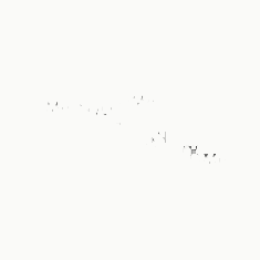 COCCOCC(COCCCCCCC(=O)NCCCCOP(=O)(O)OC)OCCOC